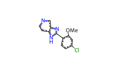 COc1cc(Cl)ccc1-c1nc2cnccc2[nH]1